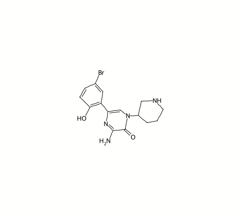 Nc1nc(-c2cc(Br)ccc2O)cn(C2CCCNC2)c1=O